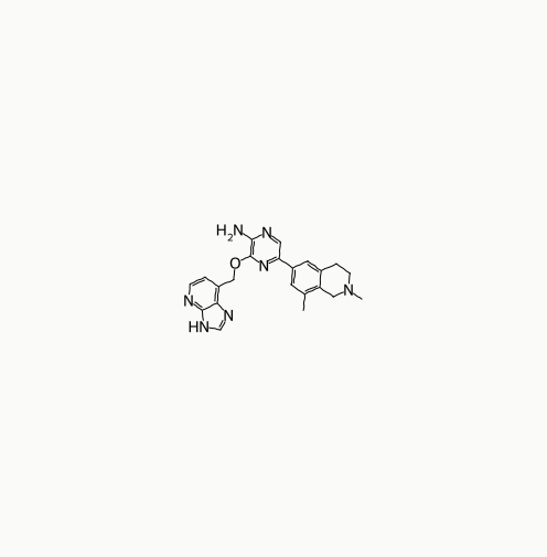 Cc1cc(-c2cnc(N)c(OCc3ccnc4[nH]cnc34)n2)cc2c1CN(C)CC2